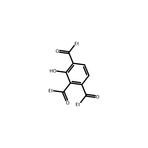 CCC(=O)c1ccc(C(=O)CC)c(C(=O)CC)c1O